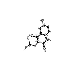 O=c1[nH]c2ccc(Br)cc2c(=O)n1CC(F)F